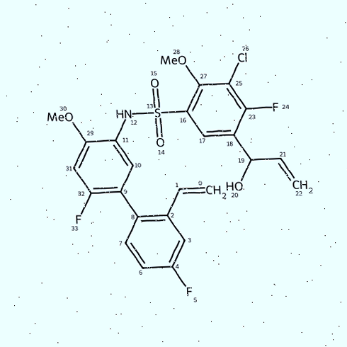 C=Cc1cc(F)ccc1-c1cc(NS(=O)(=O)c2cc(C(O)C=C)c(F)c(Cl)c2OC)c(OC)cc1F